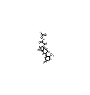 COc1ccc(F)cc1-c1ccc2c(NC(=O)COC(C)=O)n[nH]c2c1